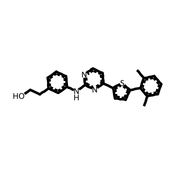 Cc1cccc(C)c1-c1ccc(-c2ccnc(Nc3cccc(CCO)c3)n2)s1